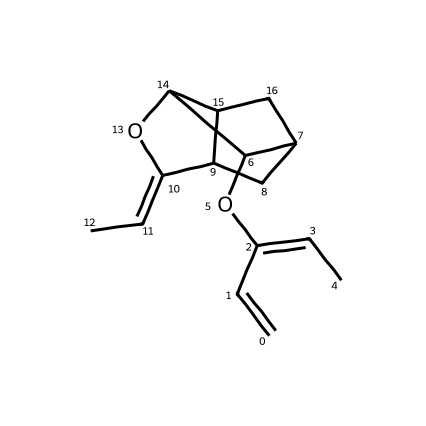 C=CC(=CC)OC1C2CC3C(=CC)OC1C3C2